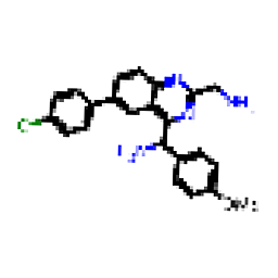 COc1ccc(C(N)c2nc(CN)nc3ccc(-c4ccc(Cl)cc4)cc23)cc1